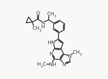 CNc1nc2[nH]c(-c3cccc(C(C)NC(=O)C4(C)CC4)c3)cc2c2c1ncn2C